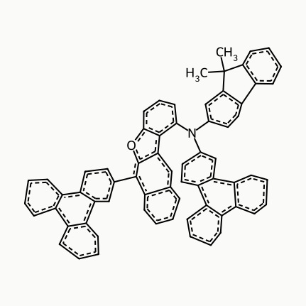 CC1(C)c2ccccc2-c2ccc(N(c3ccc4c5ccccc5c5ccccc5c4c3)c3cccc4oc5c(-c6ccc7c8ccccc8c8ccccc8c7c6)c6ccccc6cc5c34)cc21